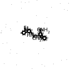 CCn1c2ccccc2c2cc(CNC(C)CCc3cc(C(N)=O)cc4c3[nH]c3ccccc34)ccc21